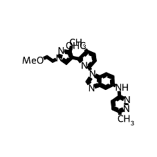 COCCn1cc(-c2nc(-n3cnc4cc(Nc5ccc(C)nn5)ccc43)ccc2C=O)c(C)n1